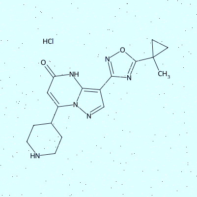 CC1(c2nc(-c3cnn4c(C5CCNCC5)cc(=O)[nH]c34)no2)CC1.Cl